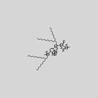 CCCCCCCCCCC(CCCCCCCC)Cc1cc(-c2ccc(-c3cc(CC(CCCCCCCC)CCCCCCCCCC)c(-c4cc(F)c(-c5sc(C)cc5F)s4)s3)c3nsnc23)sc1C